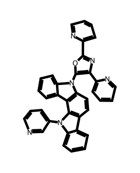 c1ccc(-c2nc(-c3ccccn3)c(-n3c4ccccc4c4c3ccc3c5ccccc5n(-c5cccnc5)c34)o2)nc1